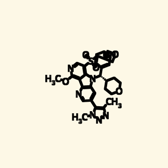 COc1ncc(S(=O)(=O)CC2(O)COC2)c2c1c1ncc(-c3c(C)nnn3C)cc1n2[C@H](c1ccccc1)C1CCOCC1